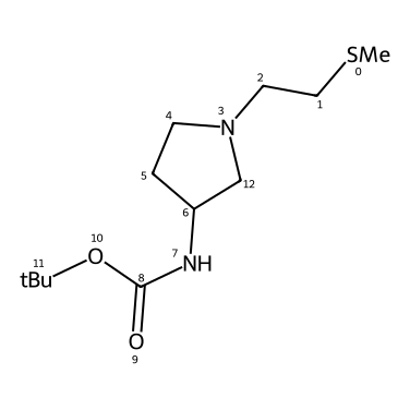 CSCCN1CCC(NC(=O)OC(C)(C)C)C1